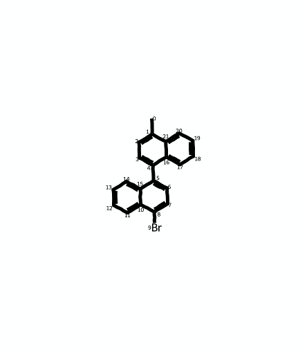 Cc1ccc(-c2ccc(Br)c3ccccc23)c2ccccc12